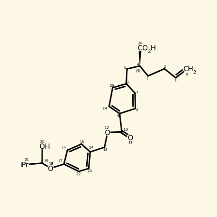 C=CCC[C@@H](Cc1ccc(C(=O)OCc2ccc(OC(O)C(C)C)cc2)cc1)C(=O)O